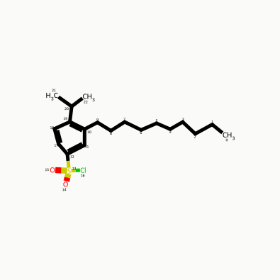 CCCCCCCCCCc1cc(S(=O)(=O)Cl)ccc1C(C)C